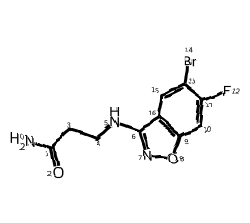 NC(=O)CCNc1noc2cc(F)c(Br)cc12